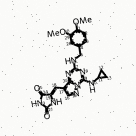 COc1ccc(CNc2nc(NC3CC3)n3ncc(/C=C4\NC(=O)NC4=O)c3n2)cc1OC